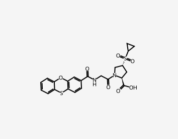 O=C(NCC(=O)N1C[C@H](S(=O)(=O)C2CC2)C[C@H]1C(=O)O)c1ccc2c(c1)Oc1ccccc1S2